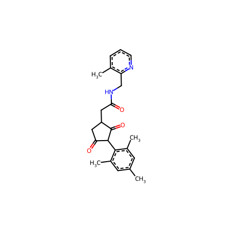 Cc1cc(C)c(C2C(=O)CC(CC(=O)NCc3ncccc3C)C2=O)c(C)c1